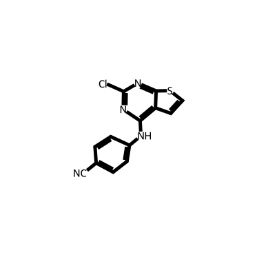 N#Cc1ccc(Nc2nc(Cl)nc3sccc23)cc1